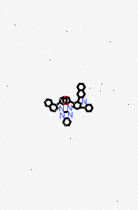 c1ccc2cc3c(cc2c1)c1c2c4ccccc4n(-c4nc5ccccc5nc4-n4c5ccccc5c5c6ccccc6ccc54)c2cc2c4ccccc4n3c21